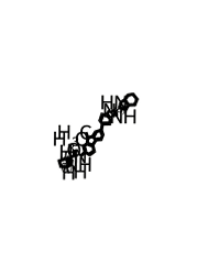 CC1(C)c2cc(NC(=O)[C@H]3N[C@@H]4CC[C@H]3C4)ccc2-c2ccc(-c3ccc4nc([C@@H]5CC6CCCCC6N5)[nH]c4c3)cc21